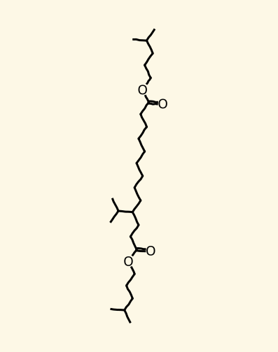 CC(C)CCCOC(=O)CCCCCCCCC(CCC(=O)OCCCC(C)C)C(C)C